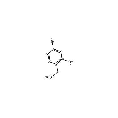 O=C(O)Cc1ccc(Br)cc1O